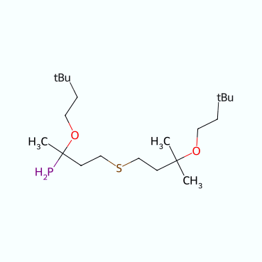 CC(C)(C)CCOC(C)(C)CCSCCC(C)(P)OCCC(C)(C)C